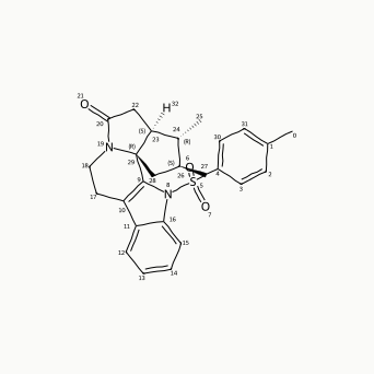 Cc1ccc(S(=O)(=O)n2c3c(c4ccccc42)CCN2C(=O)C[C@H]4[C@H](C)[C@@H](C)C[C@]342)cc1